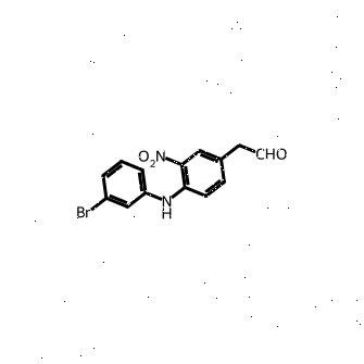 O=CCc1ccc(Nc2cccc(Br)c2)c([N+](=O)[O-])c1